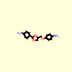 Nc1ccc(OCC2COC(c3ccc(N)cc3)O2)cc1